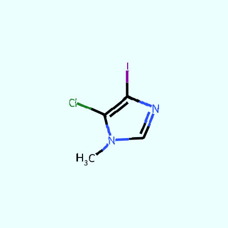 Cn1cnc(I)c1Cl